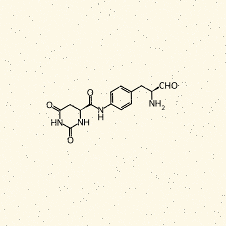 N[C@H]([C]=O)Cc1ccc(NC(=O)[C@@H]2CC(=O)NC(=O)N2)cc1